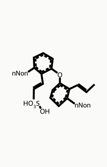 CC=Cc1c(CCCCCCCCC)cccc1Oc1cccc(CCCCCCCCC)c1C=CC.O=S(=O)(O)O